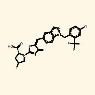 O=C1N=C(N2CC(F)C[C@H]2C(=O)O)S/C1=C/c1ccc2c(cnn2Cc2ccc(Cl)cc2C(F)(F)F)c1